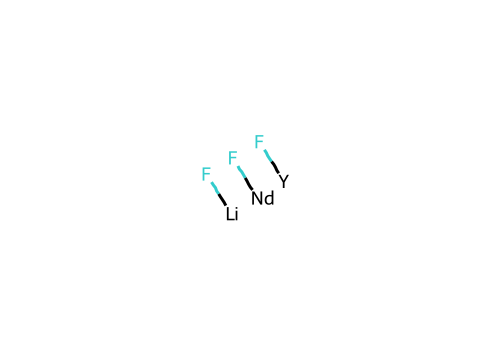 [F][Nd].[F][Y].[Li][F]